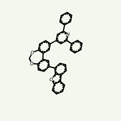 c1ccc(-c2cc(-c3ccc4c(c3)-c3cc(-c5cccc6c5oc5ccccc56)ccc3OCO4)cc(-c3ccccc3)n2)cc1